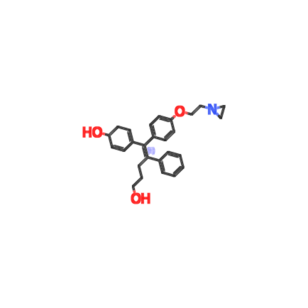 OCCC/C(=C(\C1=CCC(O)C=C1)c1ccc(OCCN2CC2)cc1)c1ccccc1